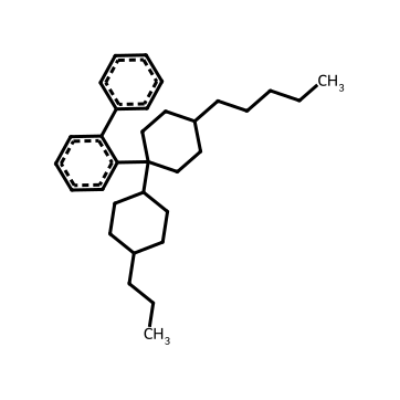 CCCCCC1CCC(c2ccccc2-c2ccccc2)(C2CCC(CCC)CC2)CC1